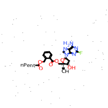 C#C[C@]1(COC(=O)c2ccccc2COC(=O)CCCCC)O[C@@H](n2cnc3c(N)nc(F)nc32)C[C@@H]1O